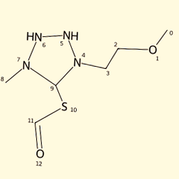 COCCN1NNN(C)C1SC=O